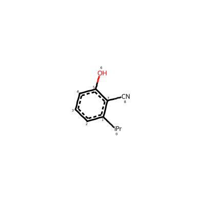 [CH2]C(C)c1cccc(O)c1C#N